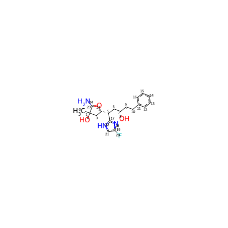 CC(O)(CC[C@H](C[C@@H](O)[CH]Cc1ccccc1)c1nc(F)c[nH]1)C(N)=O